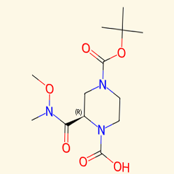 CON(C)C(=O)[C@H]1CN(C(=O)OC(C)(C)C)CCN1C(=O)O